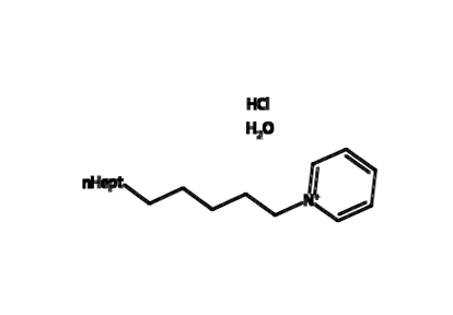 CCCCCCCCCCCC[n+]1ccccc1.Cl.O